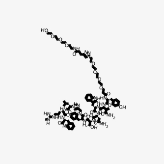 C=C(C(N)=O)[C@H](NC(=O)[C@@H](Cc1ccc(O)cc1)NC(=O)CCOCCOCCOCCOCCn1cc(CCC(=O)NCCOCCOCCOCCO)nn1)C(=O)N[C@@H](Cc1c[nH]c2ccccc12)C(=O)N[C@@H](CC(N)=O)C(=O)N[C@H](C(=O)N[C@@H](Cc1ccccc1)C(=O)NCc1cn([C@@H](CC(C)C)C(=O)N[C@@H](CCCNC(=N)NC)C(=O)N[C@@H](Cc2ccccc2)C(N)=O)nn1)[C@@H](C)O